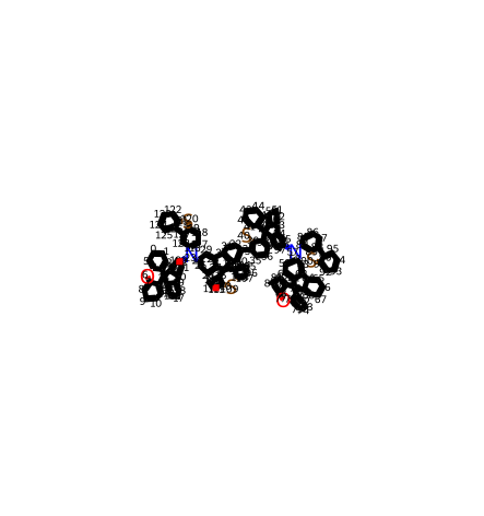 c1ccc2c(c1)Oc1ccccc1C21c2ccccc2-c2cc(N(c3ccc4c(c3)-c3ccc(-c5cccc6c5Sc5ccccc5C65c6ccccc6-c6cc(N(c7ccc8c(c7)-c7ccccc7C87c8ccccc8Oc8ccccc87)c7cccc8c7sc7ccccc78)ccc65)cc3C43c4ccccc4Sc4ccccc43)c3ccc4sc5ccccc5c4c3)ccc21